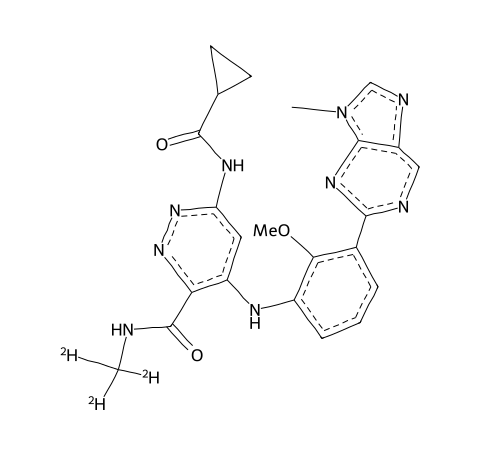 [2H]C([2H])([2H])NC(=O)c1nnc(NC(=O)C2CC2)cc1Nc1cccc(-c2ncc3ncn(C)c3n2)c1OC